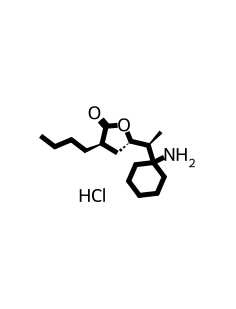 CCCC[C@@H]1C[C@@H]([C@@H](C)C2(N)CCCCC2)OC1=O.Cl